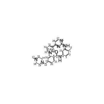 Cc1ccc(NC(=O)c2ccc(CN3CCN(C)CC3)cc2)cc1Nc1nccc(-c2cccn[14cH]2)n1